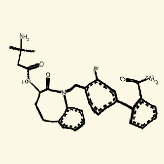 CC(C)(N)CC(=O)NC1CCc2ccccc2N(Cc2ccc(-c3ccccc3C(N)=O)cc2Br)C1=O